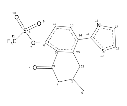 CC1CC(=O)c2c(OS(=O)(=O)C(F)(F)F)ccc(-c3nccs3)c2C1